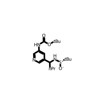 CCCC(N[S+]([O-])C(C)(C)C)c1cncc(NC(=O)OC(C)(C)C)c1